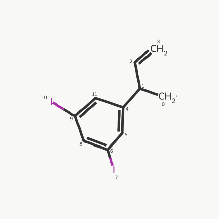 [CH2]C(C=C)c1cc(I)cc(I)c1